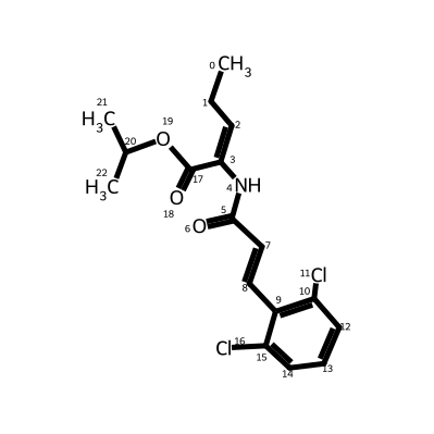 CCC=C(NC(=O)C=Cc1c(Cl)cccc1Cl)C(=O)OC(C)C